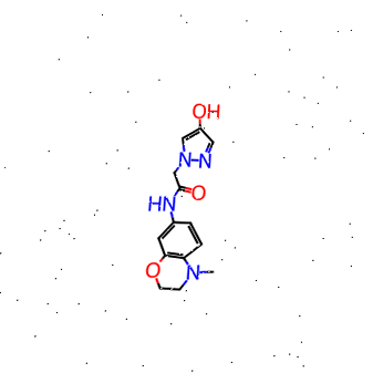 CN1CCOc2cc(NC(=O)Cn3cc(O)cn3)ccc21